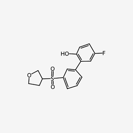 O=S(=O)(c1cccc(-c2cc(F)ccc2O)c1)C1CCOC1